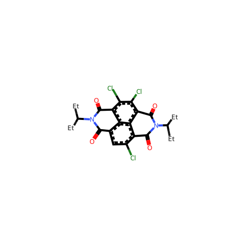 CCC(CC)N1C(=O)c2cc(Cl)c3c4c(c(Cl)c(Cl)c(c24)C1=O)C(=O)N(C(CC)CC)C3=O